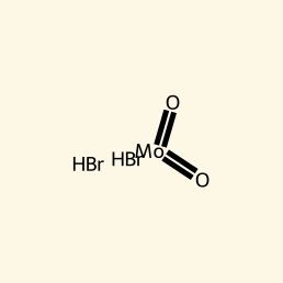 Br.Br.[O]=[Mo]=[O]